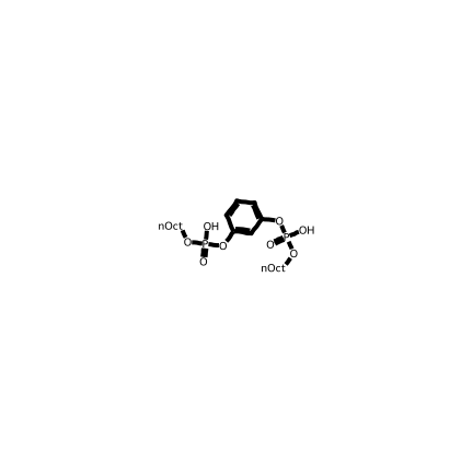 CCCCCCCCOP(=O)(O)Oc1cccc(OP(=O)(O)OCCCCCCCC)c1